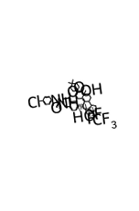 CC1(C)COC2(CCC3=C4C(CCC3(O)C2)C2CC[C@@](O)(C(F)(F)C(F)(F)F)[C@@]2(C)C[C@@H]4c2ccc(CNC(=O)Nc3ccc(Cl)cc3)cc2)OC1